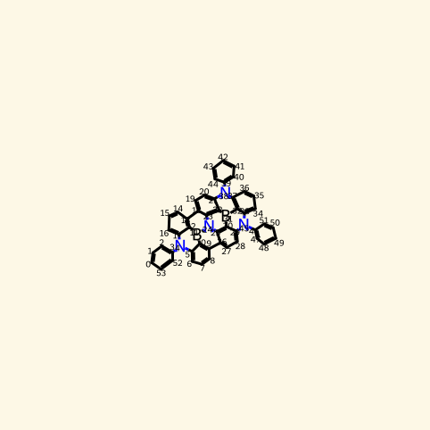 c1ccc(N2c3cccc4c3B3c5c(cccc52)-c2ccc5c6c2N3c2c-4ccc3c2B6c2c(cccc2N5c2ccccc2)N3c2ccccc2)cc1